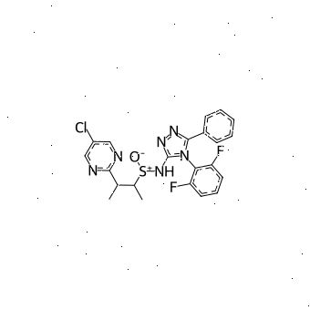 CC(c1ncc(Cl)cn1)C(C)[S+]([O-])Nc1nnc(-c2ccccc2)n1-c1c(F)cccc1F